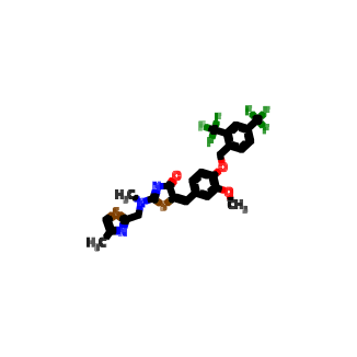 COc1cc(C=C2SC(N(C)Cc3nc(C)cs3)=NC2=O)ccc1OCc1ccc(C(F)(F)F)cc1C(F)(F)F